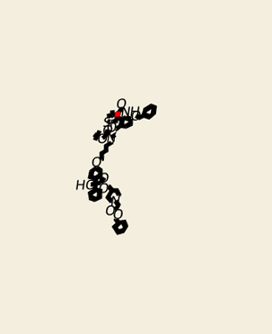 CC(C)(C)OC(=O)N(CCCCCOc1ccc(C(O)(C(=O)OCC2CCN(CC(=O)OCc3ccccc3)CC2)c2ccccc2)cc1)C[C@H](O[Si](C)(C)C(C)(C)C)c1ccc(OCc2ccccc2)c2[nH]c(=O)ccc12